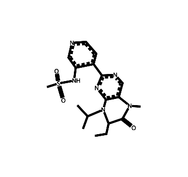 CCC1C(=O)N(C)c2cnc(-c3ccncc3NS(C)(=O)=O)nc2N1C(C)C